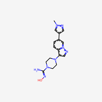 Cn1cc(-c2ccc3c(N4CCN(C(N)=NO)CC4)cnn3c2)cn1